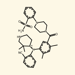 Cc1cc(C)c(N(c2ccccc2C#N)[C@@H]2CCNCC2(C)C)cc1C(=O)N1CCN(c2ccccc2S(N)(=O)=O)CC1